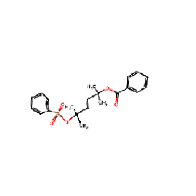 CC(C)(CCC(C)(C)OS(=O)(=O)c1ccccc1)OC(=O)c1ccccc1